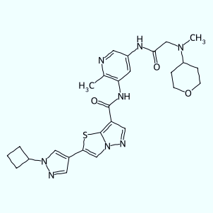 Cc1ncc(NC(=O)CN(C)C2CCOCC2)cc1NC(=O)c1cnn2cc(-c3cnn(C4CCC4)c3)sc12